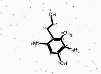 Cc1c(N)c(O)cc(N)c1CCO